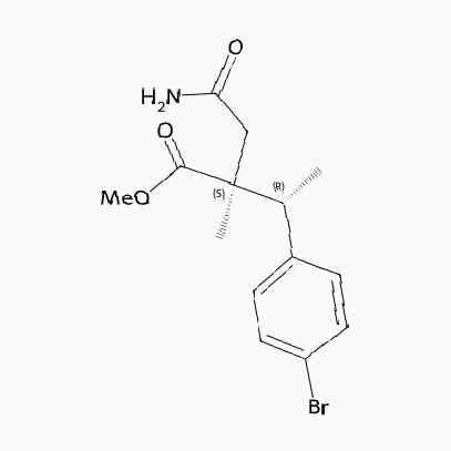 COC(=O)[C@@](C)(CC(N)=O)[C@H](C)c1ccc(Br)cc1